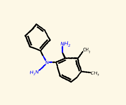 Cc1ccc(N(N)c2ccccc2)c(N)c1C